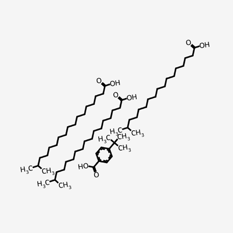 CC(C)(C)c1ccc(C(=O)O)cc1.CC(C)CCCCCCCCCCCCCCC(=O)O.CC(C)CCCCCCCCCCCCCCC(=O)O.CC(C)CCCCCCCCCCCCCCC(=O)O